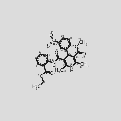 CCOC(=O)c1cccnc1NC(=O)C1=C(C)NC(C)=C(C(=O)OC)C1c1cccc([N+](=O)[O-])c1